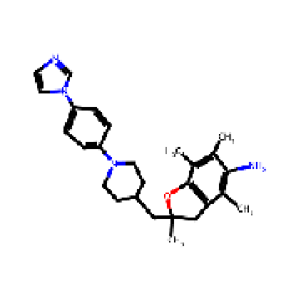 Cc1c(C)c2c(c(C)c1N)CC(C)(CC1CCN(c3ccc(-n4ccnc4)cc3)CC1)O2